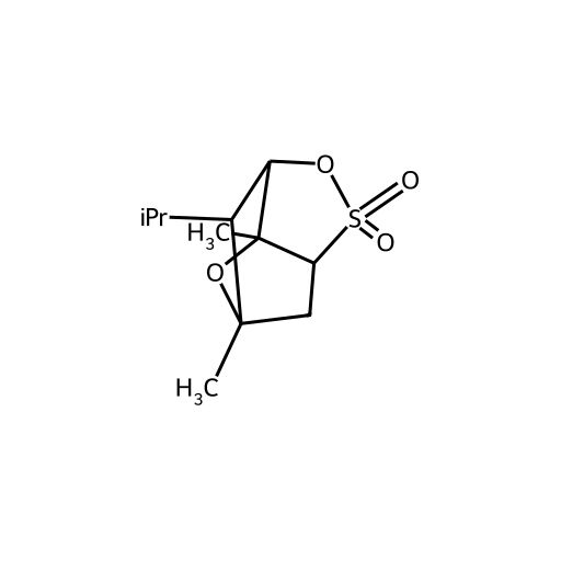 CC(C)C1C2OS(=O)(=O)C3CC1(C)OC23C